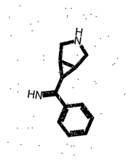 N=C(c1ccccc1)C1C2CNCC21